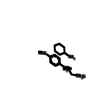 CSc1ccc(C=O)cc1.NC1CCCCC1.NCC(=O)O